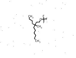 CCCCCCC(C)(CCCC)CCOC(F)(F)F